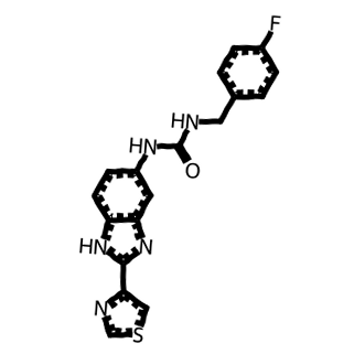 O=C(NCc1ccc(F)cc1)Nc1ccc2[nH]c(-c3cscn3)nc2c1